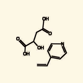 C=Cc1ccncc1.O=C(O)CC(O)C(=O)O